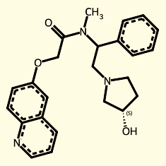 CN(C(=O)COc1ccc2ncccc2c1)C(CN1CC[C@H](O)C1)c1ccccc1